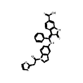 O=C1Nc2cc(C(=O)O)ccc2/C1=C(/Nc1ccc2c(c1)CCN2C(=O)Cc1nccs1)c1ccccc1